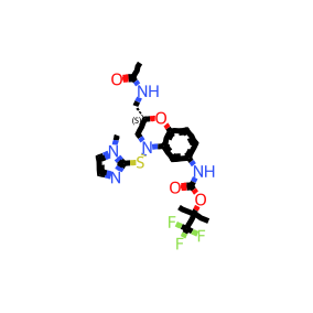 CC(=O)NC[C@H]1CN(Sc2nccn2C)c2cc(NC(=O)OC(C)(C)C(F)(F)F)ccc2O1